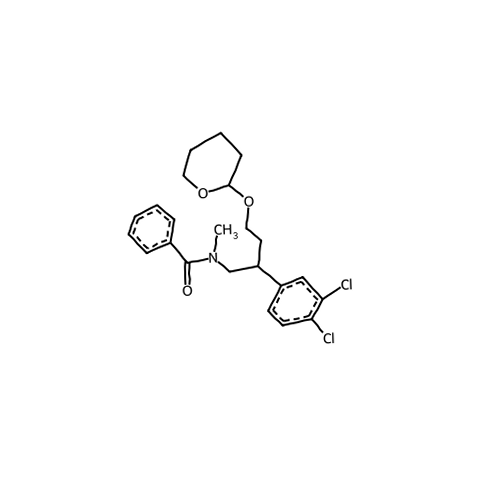 CN(CC(CCOC1CCCCO1)c1ccc(Cl)c(Cl)c1)C(=O)c1ccccc1